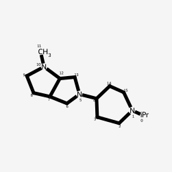 CC(C)N1CCC(N2CC3CCN(C)C3C2)CC1